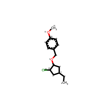 CCC1C[C](OCc2ccc(OC)cc2)C(Cl)C1